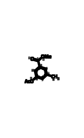 COC(=O)c1cc(C)cc(OC(C)=O)c1